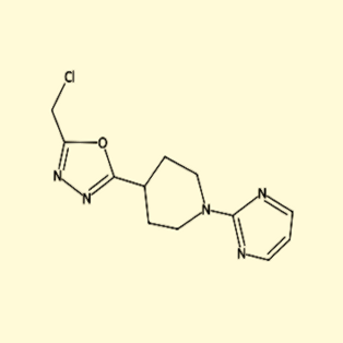 ClCc1nnc(C2CCN(c3ncccn3)CC2)o1